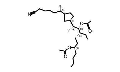 CCCC[C@H](CC[C@@H](CC)[C@@H](OC(C)=O)[C@H](C)[C@@H]1CCC([C@H](C)CCCCC#N)C1)OC(C)=O